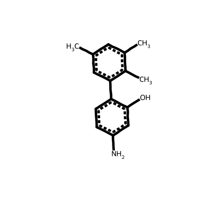 Cc1cc(C)c(C)c(-c2ccc(N)cc2O)c1